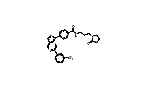 O=C(NCCCN1CCCC1=O)c1ccc(-c2ncc3cnc(-c4cccc(C(F)(F)F)c4)cn23)cc1